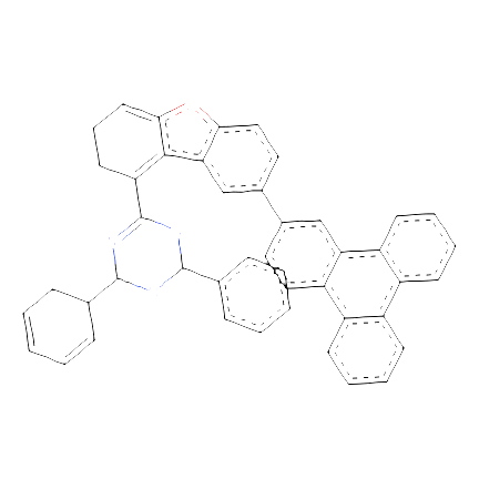 C1=CCC(C2N=C(C3=c4c(oc5ccc(-c6ccc7c8ccccc8c8ccccc8c7c6)cc45)=CCC3)NC(c3ccccc3)N2)C=C1